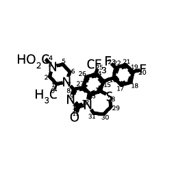 C[C@H]1CN(C(=O)O)CCN1c1nc(=O)n2c3c(c(-c4ccc(F)cc4F)c(C(F)(F)F)cc13)SCCC2